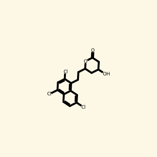 O=C1CC(O)CC(CCc2c(Cl)cc(Cl)c3ccc(Cl)cc23)O1